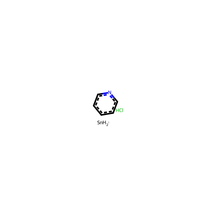 Cl.[SnH2].c1ccncc1